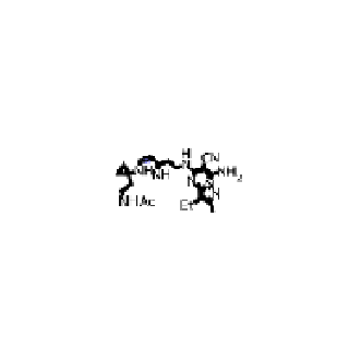 CCc1c(C)nn2c(N)c(C#N)c(NCCC(=N)/C=C\NC3(CCNC(C)=O)CC3)nc12